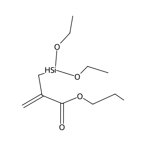 C=C(C[SiH](OCC)OCC)C(=O)OCCC